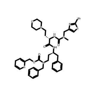 CC(C)c1nc(CN(C)C(=O)N[C@@H](CCN2CCOCC2)C(=O)N[C@H](CCN(Cc2ccccc2)C(=O)OCC2=CCC=CS2)Cc2ccccc2)cs1